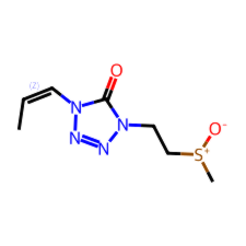 C/C=C\n1nnn(CC[S+](C)[O-])c1=O